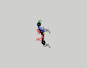 Cc1ccc([C@H](O)COCc2cc3c(=O)c(C(=O)NCc4ccc(Cl)cc4)cn(C)c3s2)cc1